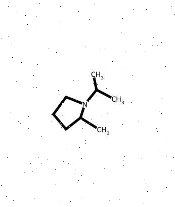 CC(C)N1C[CH]CC1C